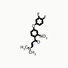 CN(C)/C=C/C(=O)c1ccc(Oc2ccc(F)c(F)c2)cc1[N+](=O)[O-]